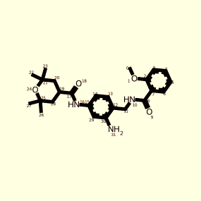 COc1ccccc1C(=O)NCc1ccc(NC(=O)C2CC(C)(C)OC(C)(C)C2)cc1N